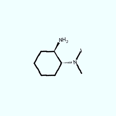 CN(I)[C@@H]1CCCC[C@H]1N